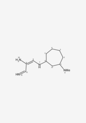 CNC1CCCCC(N/C=C(/N)C=N)C1